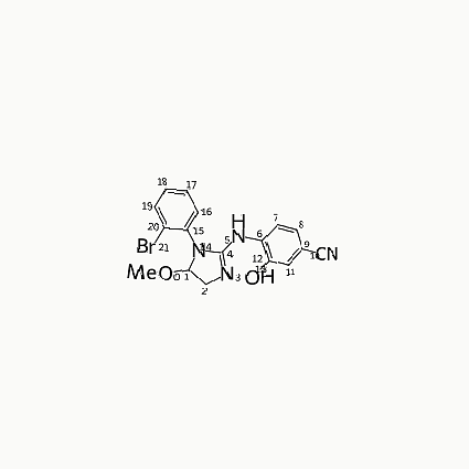 COC1CN=C(Nc2ccc(C#N)cc2O)N1c1ccccc1Br